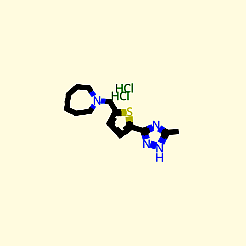 Cc1nc(-c2ccc(CN3CCCCCC3)s2)n[nH]1.Cl.Cl